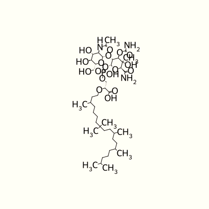 CC(=O)N[C@H]1[C@H](O[C@H]2[C@@H](OP(=O)(O)OC[C@@H](OCCC(C)CCCCC(C)(C)CCC(C)CCC(C)CCCC(C)C)C(=O)O)O[C@H](C(N)=O)[C@@](C)(O)[C@@H]2OC(N)=O)O[C@H](CO)[C@@H](O)[C@@H]1O